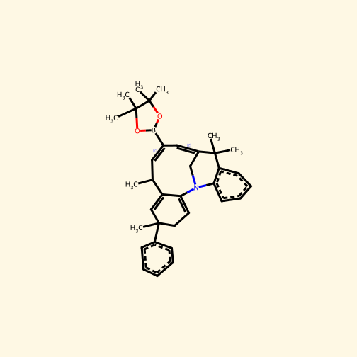 CC1/C=C(B2OC(C)(C)C(C)(C)O2)\C=C2/CN(C3=CCC(C)(c4ccccc4)C=C31)c1ccccc1C2(C)C